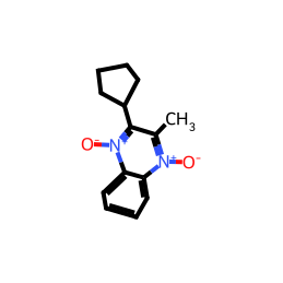 Cc1c(C2CCCC2)[n+]([O-])c2ccccc2[n+]1[O-]